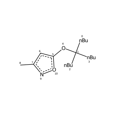 CCCCC(CCCC)(CCCC)Oc1cc(C)no1